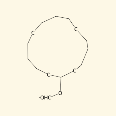 O=[C]OC1CCCCCCCCCCCCC1